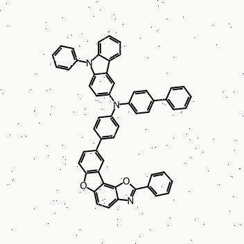 c1ccc(-c2ccc(N(c3ccc(-c4ccc5oc6ccc7nc(-c8ccccc8)oc7c6c5c4)cc3)c3ccc4c(c3)c3ccccc3n4-c3ccccc3)cc2)cc1